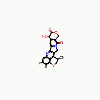 Cc1c(F)cc2nc3c(c4c2c1SCC4C#N)Cn1c-3cc2c(c1=O)COC(=O)C2O